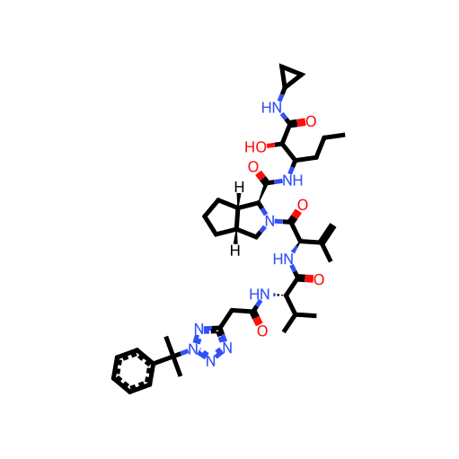 C=C(C)[C@@H](NC(=O)[C@@H](NC(=O)Cc1nnn(C(C)(C)c2ccccc2)n1)C(C)C)C(=O)N1C[C@@H]2CCC[C@@H]2[C@H]1C(=O)NC(CCC)C(O)C(=O)NC1CC1